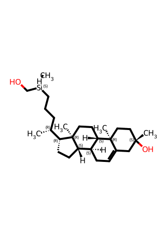 C[C@H](CCC[Si@H](C)CO)[C@H]1CC[C@H]2[C@@H]3CC=C4C[C@@](C)(O)CC[C@]4(C)[C@H]3CC[C@]12C